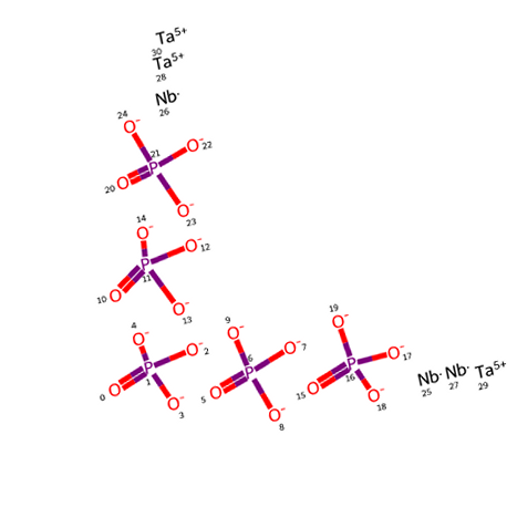 O=P([O-])([O-])[O-].O=P([O-])([O-])[O-].O=P([O-])([O-])[O-].O=P([O-])([O-])[O-].O=P([O-])([O-])[O-].[Nb].[Nb].[Nb].[Ta+5].[Ta+5].[Ta+5]